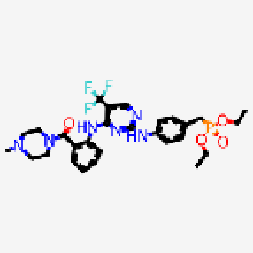 CCOP(=O)(Cc1ccc(Nc2ncc(C(F)(F)F)c(Nc3ccccc3C(=O)N3CCN(C)CC3)n2)cc1)OCC